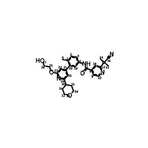 Cc1ccc(NC(=O)c2ccnc(C(C)(C)C#N)c2)cc1-c1cc(OCCO)nc(C2CCOCC2)c1